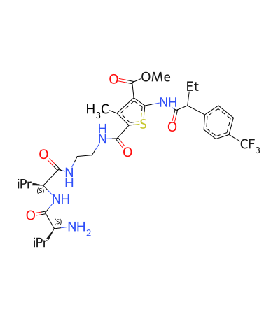 CCC(C(=O)Nc1sc(C(=O)NCCNC(=O)[C@@H](NC(=O)[C@@H](N)C(C)C)C(C)C)c(C)c1C(=O)OC)c1ccc(C(F)(F)F)cc1